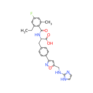 CCc1cc(F)cc(C)c1C(=O)NC(Cc1ccc(-c2cc(CNc3ncc[nH]3)on2)cc1)C(=O)O